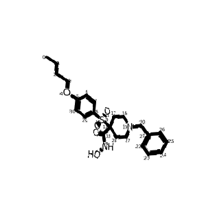 CCCCOc1ccc(S(=O)(=O)C2(C(=O)NO)CCN(Cc3ccccc3)CC2)cc1